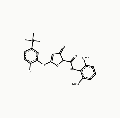 COc1cccc(OC)c1NC(=O)C1OC(Oc2cc([Si](C)(C)C)ccc2Br)=CC1=O